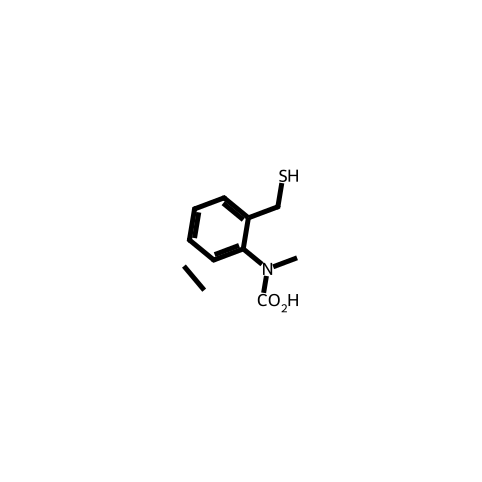 CC.CN(C(=O)O)c1ccccc1CS